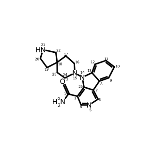 NC(=O)c1cncc2c3ccccc3n(N3CCC4(CCNC4)CC3)c12